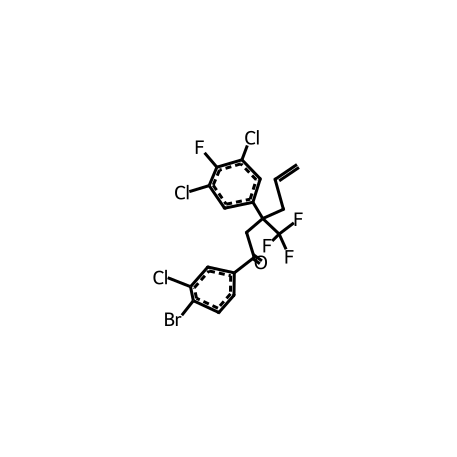 C=CCC(CC(=O)c1ccc(Br)c(Cl)c1)(c1cc(Cl)c(F)c(Cl)c1)C(F)(F)F